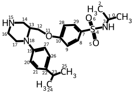 CC(C)NS(=O)(=O)c1ccc(OCC2CNCCN2c2ccc(C(C)C)cc2)cc1